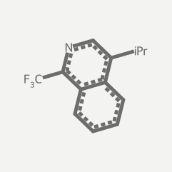 CC(C)c1cnc(C(F)(F)F)c2ccccc12